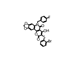 O=c1oc2c(c(O)c1Sc1ccccc1Br)c(=O)n(Cc1ccc(F)cc1)c1cc3c(cc21)OCO3